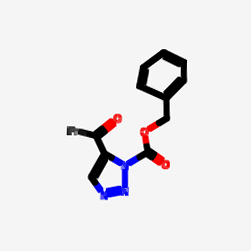 CC(C)C(=O)c1cnnn1C(=O)OCc1ccccc1